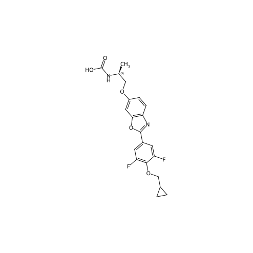 C[C@@H](COc1ccc2nc(-c3cc(F)c(OCC4CC4)c(F)c3)oc2c1)NC(=O)O